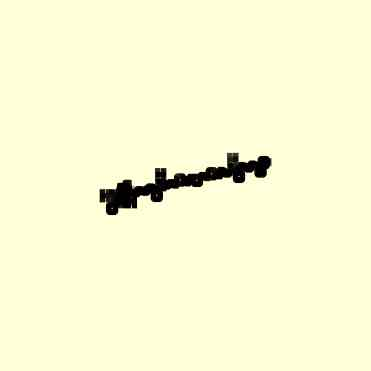 COC(=O)CCCC(=O)NCCCOCCOCCOCCCNC(=O)CCCC[C@@H]1SCC2NC(=O)N[C@@H]21